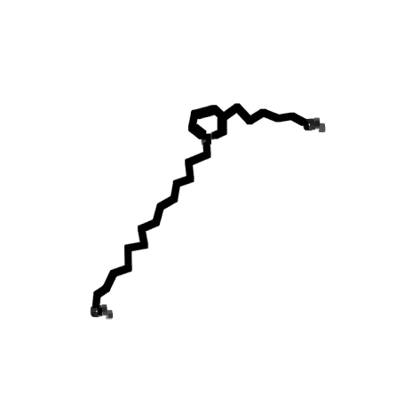 CCCCCCCCCCCCCCC[n+]1cccc(CCCCCC)c1